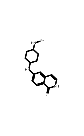 CCNC1CCC(Nc2ccc3c(=O)[nH]ccc3c2)CC1